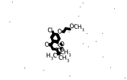 COCCCOc1cc2c(cc1Cl)C(=O)CC(C(C)(C)C)S2(=O)=O